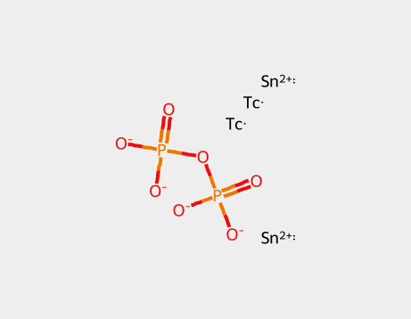 O=P([O-])([O-])OP(=O)([O-])[O-].[Sn+2].[Sn+2].[Tc].[Tc]